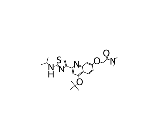 CC(C)Nc1nc(-c2cc(OC(C)(C)C)c3ccc(OCC(=O)N(C)C)cc3n2)cs1